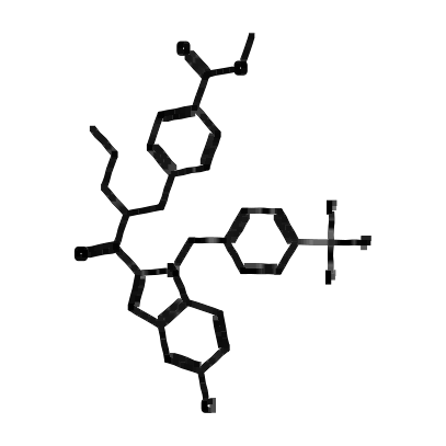 CCCC(Cc1ccc(C(=O)OC)cc1)C(=O)c1cc2cc(Cl)ccc2n1Cc1ccc(C(F)(F)F)cc1